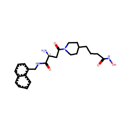 N[C@@H](CC(=O)N1CCC(CCCC(=O)NO)CC1)C(=O)NCc1cccc2ccccc12